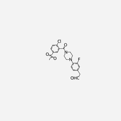 CS(=O)(=O)c1ccc(Cl)c(C(=O)N2CCN(c3ccc(CC=O)cc3F)CC2)c1